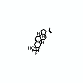 C=C(C)[C@H]1CC[C@H]2[C@@H]3CC=C4C[C@](O)(C(F)(F)F)CC[C@]4(C)[C@H]3CC[C@]12C